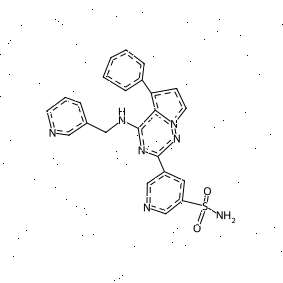 NS(=O)(=O)c1cncc(-c2nc(NCc3cccnc3)c3c(-c4ccccc4)ccn3n2)c1